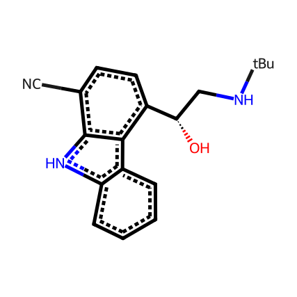 CC(C)(C)NC[C@H](O)c1ccc(C#N)c2[nH]c3ccccc3c12